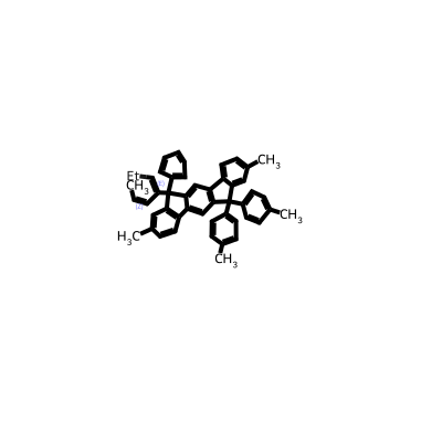 C/C=C\C(=C/CC)C1(c2ccccc2)c2cc(C)ccc2-c2cc3c(cc21)-c1ccc(C)cc1C3(c1ccc(C)cc1)c1ccc(C)cc1